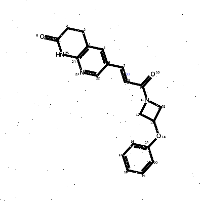 O=C1CCc2cc(/C=C/C(=O)N3CC(Oc4ccccc4)C3)cnc2N1